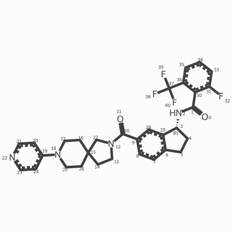 O=C(N[C@@H]1CCc2ccc(C(=O)N3CCC4(CCN(c5ccncc5)CC4)C3)cc21)c1c(F)cccc1C(F)(F)F